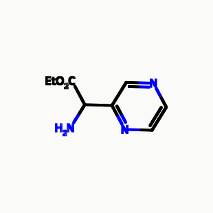 CCOC(=O)C(N)c1cnccn1